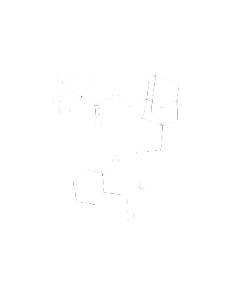 CC[S+](CC)C1CCCCC1=O.O=C(OCC12CC3CC(CC(CCl)(C3)C1)C2)C(C(F)(F)F)(C(F)(F)F)S(=O)(=O)[O-]